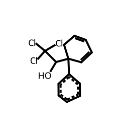 OC(C(Cl)(Cl)Cl)C1(c2ccccc2)C=CC=CC1